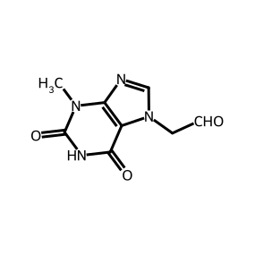 Cn1c(=O)[nH]c(=O)c2c1ncn2CC=O